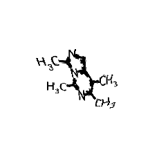 Cc1nc(C)n2c(C)ncc2c1C